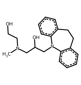 CN(CCO)CC(O)CN1c2ccccc2CCc2ccccc21